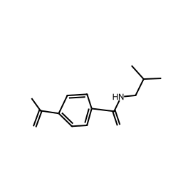 C=C(C)c1ccc(C(=C)NCC(C)C)cc1